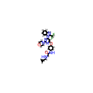 O=C(CNCC1CC1)N[C@H]1CC[C@H](Oc2cc(-n3c(C(F)F)nc4ccccc43)nc(N3CCOCC3)n2)CC1